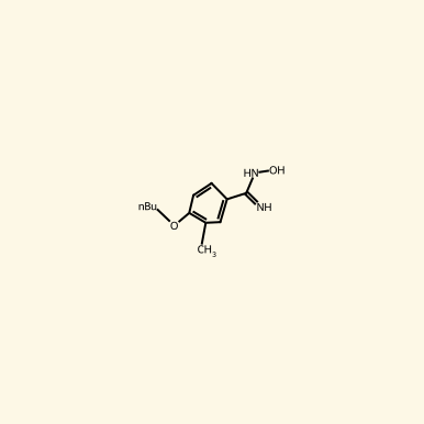 CCCCOc1ccc(C(=N)NO)cc1C